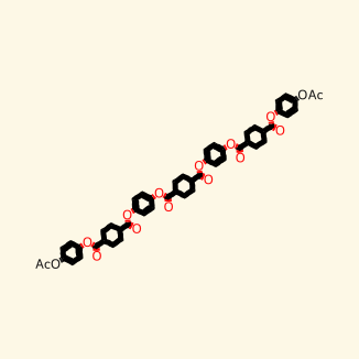 CC(=O)Oc1ccc(OC(=O)C2CCC(C(=O)Oc3ccc(OC(=O)C4CCC(C(=O)Oc5ccc(OC(=O)C6CCC(C(=O)Oc7ccc(OC(C)=O)cc7)CC6)cc5)CC4)cc3)CC2)cc1